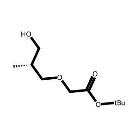 C[C@H](CO)COCC(=O)OC(C)(C)C